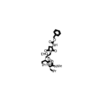 CCOP(=O)(C[C@@H](CC(C)C)C(=O)N[C@@H](CC(C)C)C(=O)NC)CN1C(=O)C[C@@H](NC(=O)OCc2ccccc2)C1=O